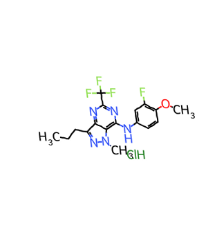 CCCc1nn(C)c2c(Nc3ccc(OC)c(F)c3)nc(C(F)(F)F)nc12.Cl